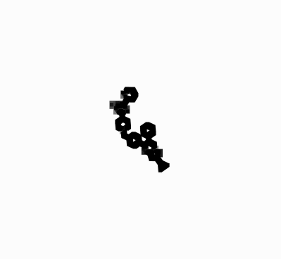 c1ccc(-c2cn3nc(C4CC4)cc3nc2-c2ccc(CN3CCC(c4n[nH]c(-c5ccccn5)n4)CC3)cc2)cc1